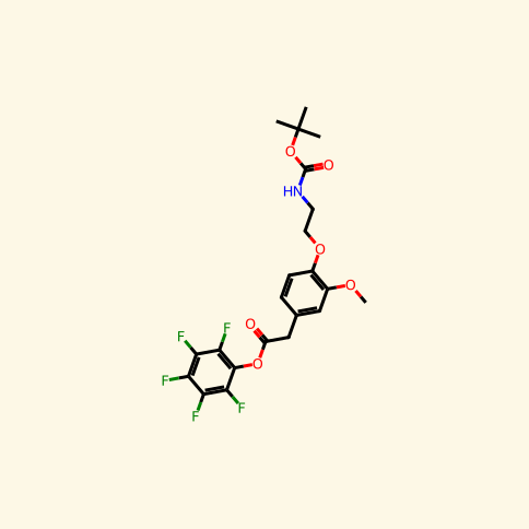 COc1cc(CC(=O)Oc2c(F)c(F)c(F)c(F)c2F)ccc1OCCNC(=O)OC(C)(C)C